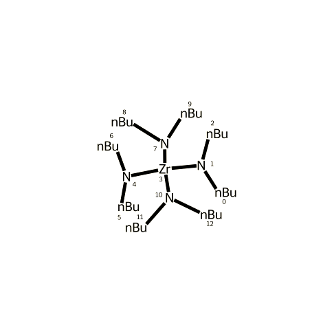 CCCC[N](CCCC)[Zr]([N](CCCC)CCCC)([N](CCCC)CCCC)[N](CCCC)CCCC